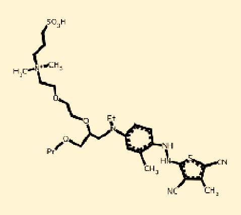 CCN(CC(COC(C)C)OCCOCC[N+](C)(C)CCCS(=O)(=O)O)c1ccc(NNc2sc(C#N)c(C)c2C#N)c(C)c1